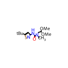 COC(CN(C)C(=O)Nc1cc(C(C)(C)C)sn1)OC